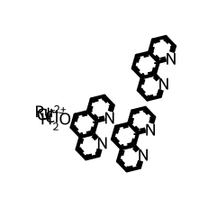 O.[Cl-].[Cl-].[Ru+2].c1cnc2c(c1)ccc1cccnc12.c1cnc2c(c1)ccc1cccnc12.c1cnc2c(c1)ccc1cccnc12